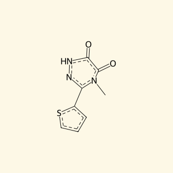 Cn1c(-c2cccs2)n[nH]c(=O)c1=O